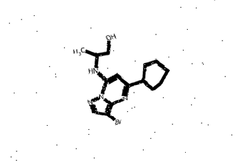 CC(CO)Nc1cc(C2CCCCC2)nc2c(Br)cnn12